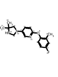 Cc1cc(F)ccc1Oc1ccc(N2CNC(C)(C)C2)cn1